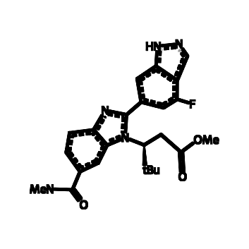 CNC(=O)c1ccc2nc(-c3cc(F)c4cn[nH]c4c3)n([C@@H](CC(=O)OC)C(C)(C)C)c2c1